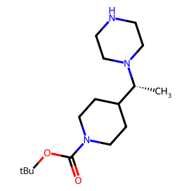 C[C@H](C1CCN(C(=O)OC(C)(C)C)CC1)N1CCNCC1